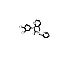 O=C1N(Cc2ccccn2)Cc2cccnc2N1c1ccc(Cl)c(Cl)c1